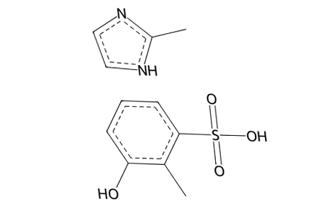 Cc1c(O)cccc1S(=O)(=O)O.Cc1ncc[nH]1